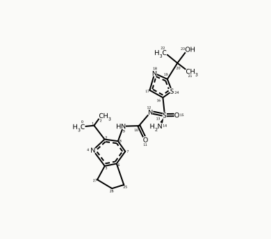 CC(C)c1nc2c(cc1NC(=O)N=[S@@](N)(=O)c1cnc(C(C)(C)O)s1)CCC2